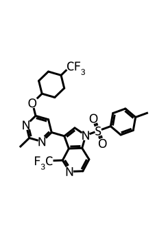 Cc1ccc(S(=O)(=O)n2cc(-c3cc(OC4CCC(C(F)(F)F)CC4)nc(C)n3)c3c(C(F)(F)F)nccc32)cc1